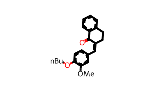 CCCCOc1ccc(C=C2CCc3ccccc3C2=O)cc1OC